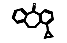 O=C1c2ccccc2CCc2c1cccc2C1CC1